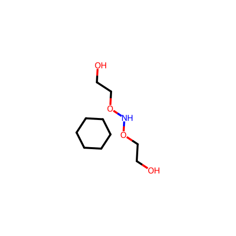 C1CCCCC1.OCCONOCCO